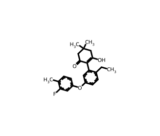 CCc1ccc(Oc2ccc(C)c(F)c2)cc1C1=C(O)CC(C)(C)CC1=O